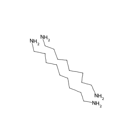 NCCCCCCCCCN.NCCCCCCCCN